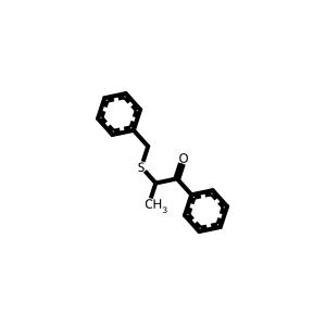 CC(SCc1ccccc1)C(=O)c1ccccc1